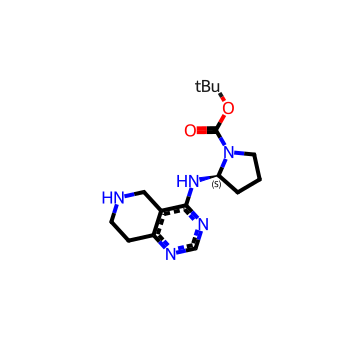 CC(C)(C)OC(=O)N1CCC[C@H]1Nc1ncnc2c1CNCC2